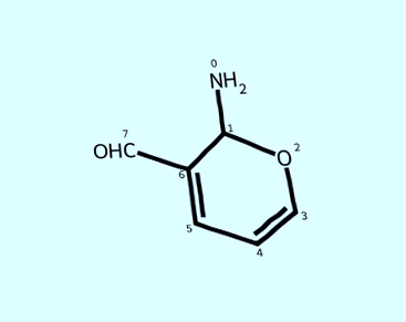 NC1OC=CC=C1C=O